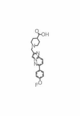 O=C(O)C1CCN(Cc2cn3nc(-c4ccc(OF)cc4)ccc3n2)CC1